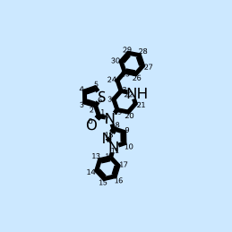 O=C(c1cccs1)N(c1ccn(-c2ccccc2)n1)C1CCNC(Cc2ccccc2)C1